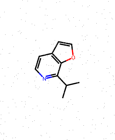 CC(C)c1nccc2ccoc12